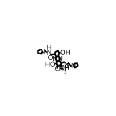 Cc1c(O)c(/C=N/CCN2CCCC2)c2nc3c(O)ccc(C(=O)NCCN4CCCC4)c3nc2c1O